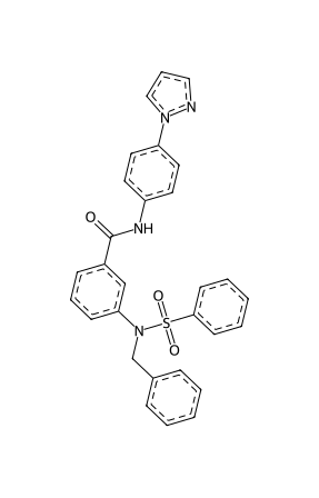 O=C(Nc1ccc(-n2cccn2)cc1)c1cccc(N(Cc2ccccc2)S(=O)(=O)c2ccccc2)c1